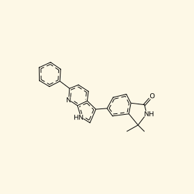 CC1(C)NC(=O)c2ccc(-c3c[nH]c4nc(-c5ccccc5)ccc34)cc21